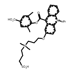 CCC[n+]1c2ccccc2c(C(=O)Oc2c(C)cc(C(=O)O)cc2C)c2cc(OCCC[N+](C)(C)CCCS(=O)(=O)O)ccc21